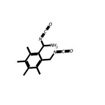 Cc1c(C)c(C)c(C(N)N=C=O)c(CN=C=O)c1C